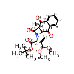 COC(C=C[C@@]12C(=O)c3ccccc3C(=O)[C@@H]1C(=O)N2CC(=O)OC(C)(C)C)OC